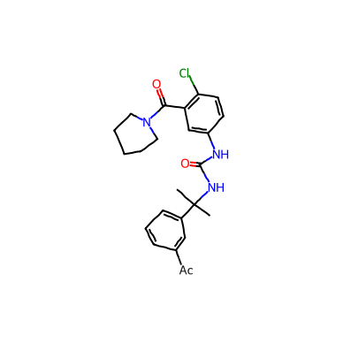 CC(=O)c1cccc(C(C)(C)NC(=O)Nc2ccc(Cl)c(C(=O)N3CCCCC3)c2)c1